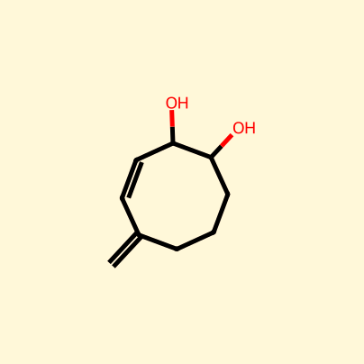 C=C1C=CC(O)C(O)CCC1